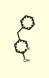 Oc1ccc(Cc2ccccc2)cn1